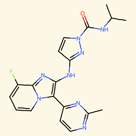 Cc1nccc(-c2c(Nc3ccn(C(=O)NC(C)C)n3)nc3c(F)cccn23)n1